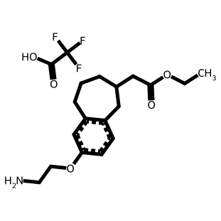 CCOC(=O)CC1CCCc2cc(OCCN)ccc2C1.O=C(O)C(F)(F)F